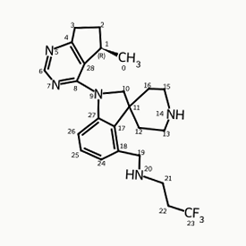 C[C@@H]1CCc2ncnc(N3CC4(CCNCC4)c4c(CNCCC(F)(F)F)cccc43)c21